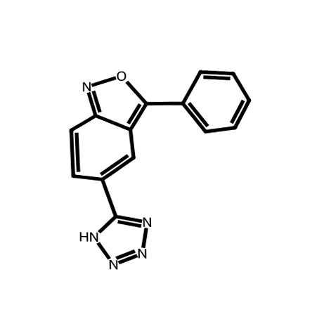 c1ccc(-c2onc3ccc(-c4nnn[nH]4)cc23)cc1